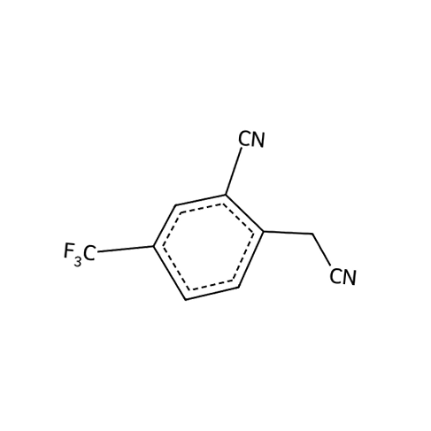 N#CCc1ccc(C(F)(F)F)cc1C#N